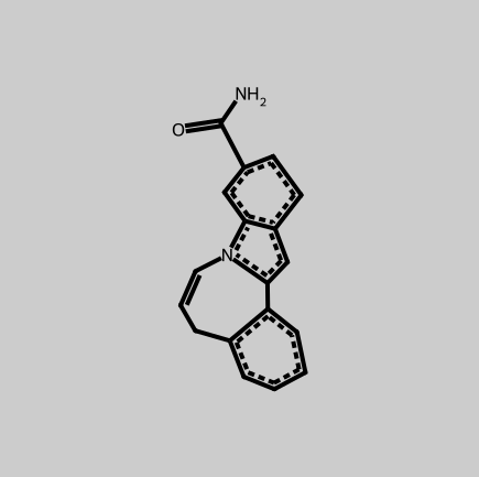 NC(=O)c1ccc2cc3n(c2c1)C=CCc1ccccc1-3